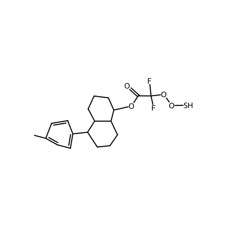 Cc1ccc(C2CCCC3C(OC(=O)C(F)(F)OOS)CCCC23)cc1